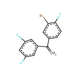 C=C(c1cc(F)cc(F)c1)c1ccc(F)c(Br)c1